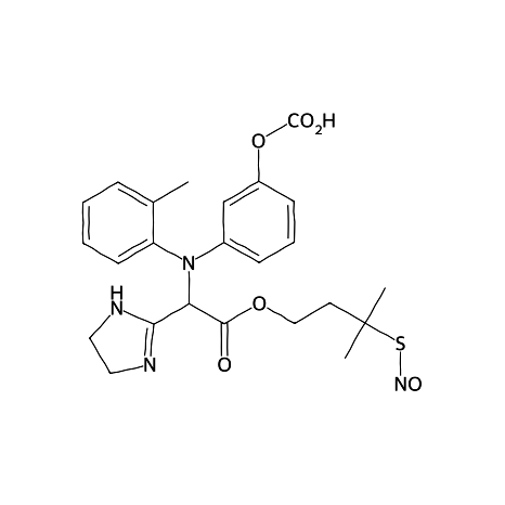 Cc1ccccc1N(c1cccc(OC(=O)O)c1)C(C(=O)OCCC(C)(C)SN=O)C1=NCCN1